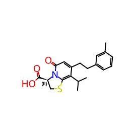 Cc1cccc(CCc2cc(=O)n3c(c2C(C)C)SC[C@H]3C(=O)O)c1